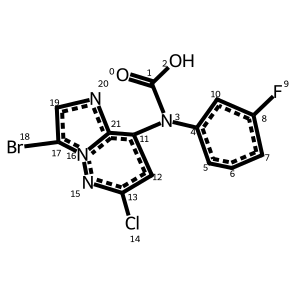 O=C(O)N(c1cccc(F)c1)c1cc(Cl)nn2c(Br)cnc12